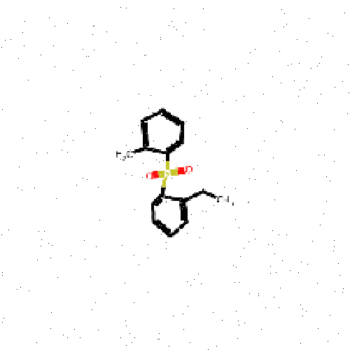 CCc1c[c]ccc1S(=O)(=O)c1ccccc1C